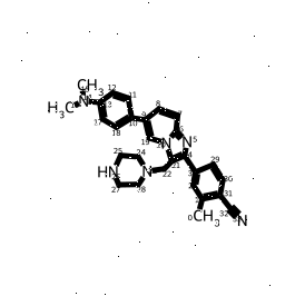 Cc1cc(-c2nc3ccc(-c4ccc(N(C)C)cc4)cn3c2CN2CCNCC2)ccc1C#N